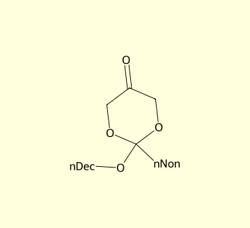 CCCCCCCCCCOC1(CCCCCCCCC)OCC(=O)CO1